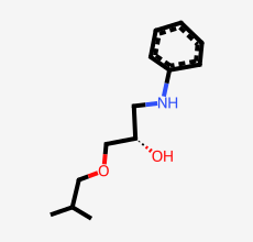 CC(C)COC[C@@H](O)CNc1ccccc1